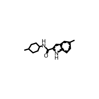 Cc1ccc2[nH]c(C(=O)NC3CCC(C)CC3)cc2c1